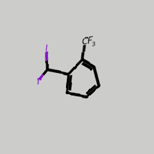 FC(F)(F)c1ccccc1C(I)I